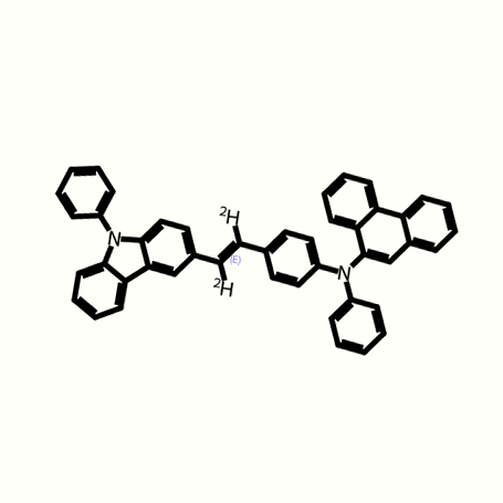 [2H]/C(=C(/[2H])c1ccc2c(c1)c1ccccc1n2-c1ccccc1)c1ccc(N(c2ccccc2)c2cc3ccccc3c3ccccc23)cc1